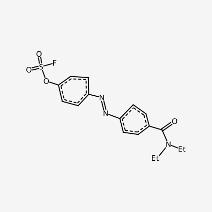 CCN(CC)C(=O)c1ccc(/N=N/c2ccc(OS(=O)(=O)F)cc2)cc1